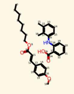 CCCCCCCCOC(=O)C=Cc1ccc(OC)cc1.Cc1cccc(Nc2ccccc2C(=O)O)c1C